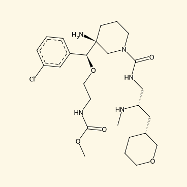 CN[C@H](CNC(=O)N1CCC[C@@](N)([C@@H](OCCNC(=O)OC)c2cccc(Cl)c2)C1)C[C@H]1CCCOC1